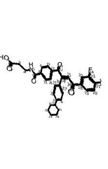 O=C(O)CCNC(=O)c1ccc(C(=O)C(=CC(=O)c2ccc(F)c(F)c2)c2ccc(C3CCCCC3)cc2)cc1